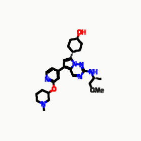 COC[C@H](C)Nc1ncc2c(-c3ccnc(O[C@@H]4CCCN(C)C4)c3)cc([C@H]3CC[C@H](O)CC3)n2n1